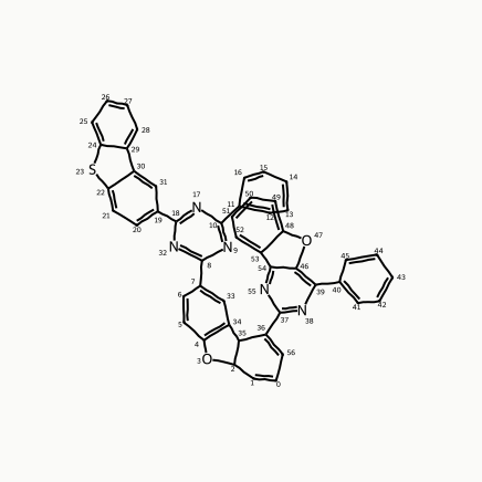 C1=CC2Oc3ccc(-c4nc(-c5ccccc5)nc(-c5ccc6sc7ccccc7c6c5)n4)cc3C2C(c2nc(-c3ccccc3)c3oc4ccccc4c3n2)=C1